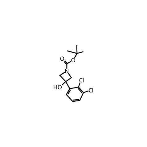 CC(C)(C)OC(=O)N1CC(O)(c2cccc(Cl)c2Cl)C1